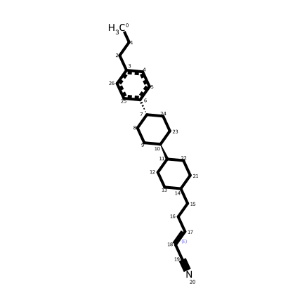 CCCc1ccc([C@H]2CC[C@H](C3CCC(CC/C=C/C#N)CC3)CC2)cc1